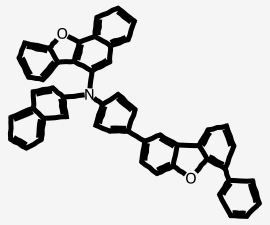 c1ccc(-c2cccc3c2oc2ccc(-c4ccc(N(c5ccc6ccccc6c5)c5cc6ccccc6c6oc7ccccc7c56)cc4)cc23)cc1